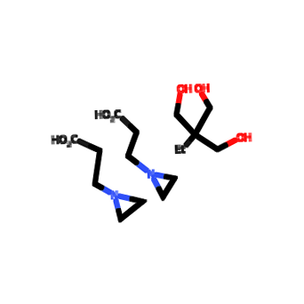 CCC(CO)(CO)CO.O=C(O)CCN1CC1.O=C(O)CCN1CC1